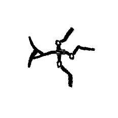 CCO[Si](OCC)(OCC)C1C(C)C1C